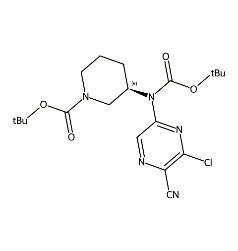 CC(C)(C)OC(=O)N1CCC[C@@H](N(C(=O)OC(C)(C)C)c2cnc(C#N)c(Cl)n2)C1